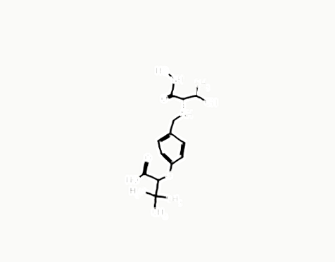 C[C@@H](O)[C@H](NCc1ccc(OC(C(=O)O)C(C)(C)C)cc1)C(=O)NO